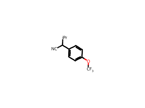 CC(C)C(C#N)c1ccc(OC(F)(F)F)cc1